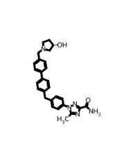 Cc1nc(C(N)=O)nn1-c1ccc(Cc2ccc(-c3ccc(CN4CC[C@H](O)C4)cc3)cc2)cc1